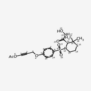 CC(=O)OC#CCOc1ccc(S(=O)(=O)N2CCSC(C)(C)[C@@H]2C(=O)NO)cc1